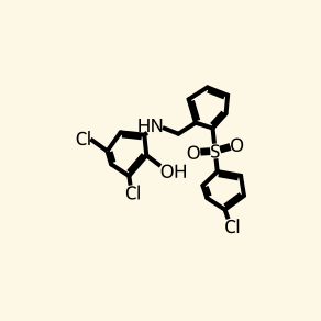 O=S(=O)(c1ccc(Cl)cc1)c1ccccc1CNc1cc(Cl)cc(Cl)c1O